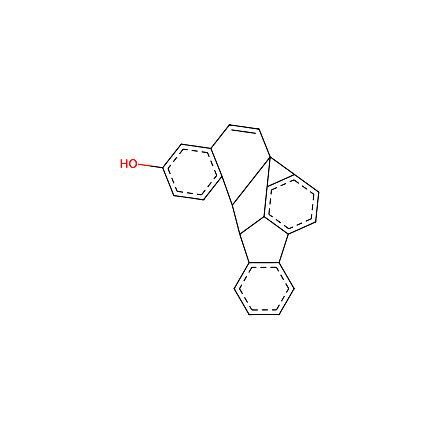 Oc1ccc2c(c1)C=CC13c4ccc5c(c41)C(c1ccccc1-5)C23